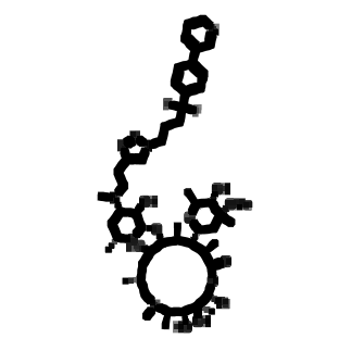 CC[C@H]1OC(=O)[C@H](C)C([C@H]2C[C@@](C)(OC)[C@@H](O)[C@H](C)O2)[C@H](C)[C@@H](O[C@@H]2O[C@H](C)C[C@H](N(C)CCc3cn(CCCC(F)(F)c4ccc(-c5cccnc5)cc4)nn3)[C@H]2O)[C@H](O)C[C@@H](C)CN(C)[C@H](C)[C@@H](O)[C@]1(C)O